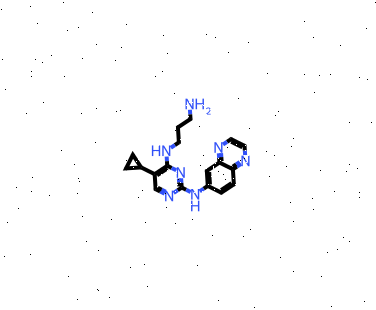 NCCCNc1nc(Nc2ccc3nccnc3c2)ncc1C1CC1